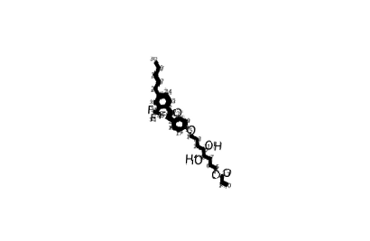 C=CC(=O)OCCCC(O)C(O)CCCOc1ccc2cc(-c3ccc(CCCCC)cc3C(F)(F)F)oc2c1